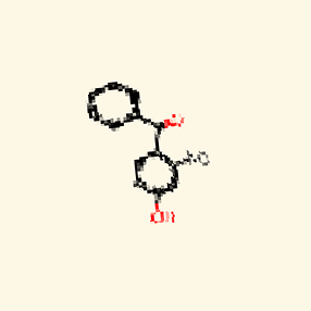 O=Nc1cc(O)ccc1C(=O)c1ccccc1